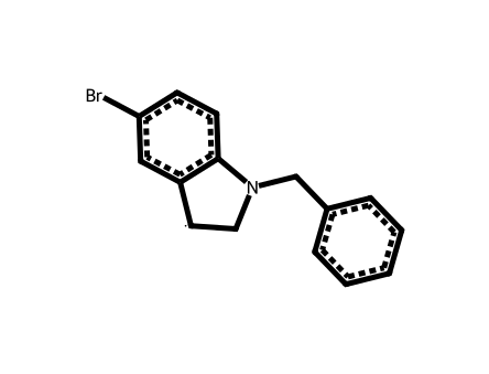 Brc1ccc2c(c1)[CH]CN2Cc1ccccc1